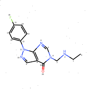 CCNCn1cnc2c(cnn2-c2ccc(F)cc2)c1=O